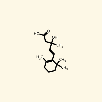 CC1=C(/C=C/C(C)(O)CC(=O)O)C(C)(C)CCC1